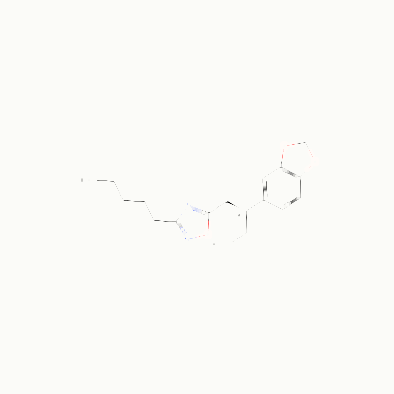 O=CCCCCc1noc(C[C@H](CC(=O)O)c2ccc3c(c2)OCO3)n1